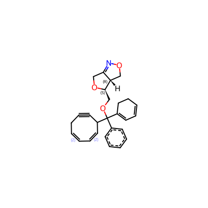 C1#CC(C(OC[C@H]2OCC3=NOC[C@@H]32)(C2=CC=CCC2)c2ccccc2)/C=C\C=C/C1